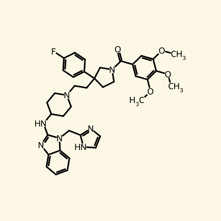 COc1cc(C(=O)N2CCC(CCN3CCC(Nc4nc5ccccc5n4Cc4ncc[nH]4)CC3)(c3ccc(F)cc3)C2)cc(OC)c1OC